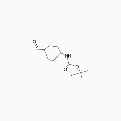 CC(C)(C)OC(=O)NC1CCC([C]=O)CC1